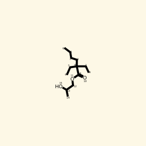 CCCCC(CC)(CC)C(=O)OCC(C)O